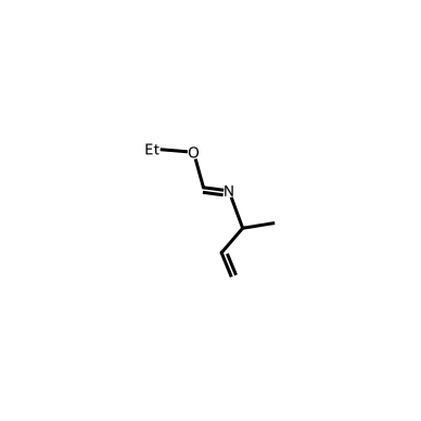 C=CC(C)N=COCC